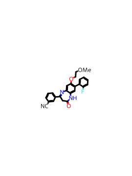 COCCOc1cc2c(cc1-c1ccccc1F)NC(=O)CC(c1cccc(C#N)c1)=N2